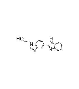 OCCn1cnc2cc(-c3nc4ccccc4[nH]3)ccc21